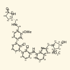 COc1nc(-c2cccc(-c3cccc(Nc4nccc5sc(CN6C[C@H](O)C[C@H]6C(=O)O)nc45)c3Cl)c2Cl)ccc1CNC[C@@H]1CCC(=O)N1